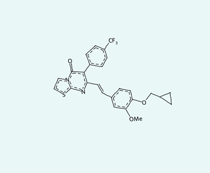 COc1cc(C=Cc2nc3sccn3c(=O)c2-c2ccc(C(F)(F)F)cc2)ccc1OCC1CC1